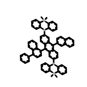 C[Si]1(C)c2ccccc2N(c2ccc3c(-c4ccc(-c5ccccc5)c5ccccc45)c4cc(N5c6ccccc6[Si](C)(C)c6ccccc65)ccc4c(-c4ccc5ccccc5c4)c3c2)c2ccccc21